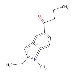 CCCC(=O)c1ccc2c(c1)cc(CC)n2C